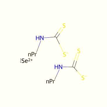 CCCNC(=S)[S-].CCCNC(=S)[S-].[Se+2]